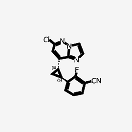 N#Cc1cccc([C@H]2C[C@@H]2c2cc(Cl)nn3ccnc23)c1F